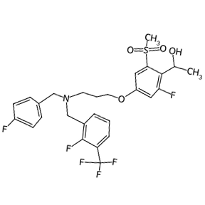 CC(O)c1c(F)cc(OCCCN(Cc2ccc(F)cc2)Cc2cccc(C(F)(F)F)c2F)cc1S(C)(=O)=O